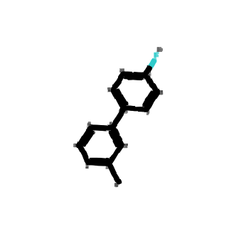 Cc1cc[c]c(-c2ccc(F)cc2)c1